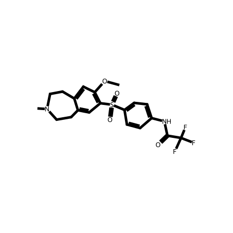 COc1cc2c(cc1S(=O)(=O)c1ccc(NC(=O)C(F)(F)F)cc1)CCN(C)CC2